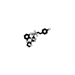 COc1cccc(OC)c1-n1c(NS(=O)(=O)CCc2ccc(Cl)cc2)nnc1[C@H]1CCCO1